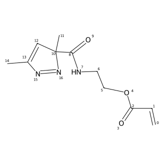 C=CC(=O)OCCNC(=O)C1(C)C=C(C)N=N1